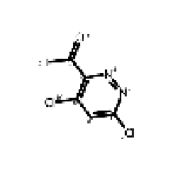 O=C(I)c1nnc(Cl)cc1Cl